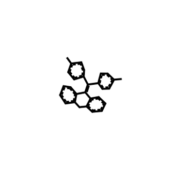 Cc1ccc(C(=C2c3ccccc3Cc3ccccc32)c2ccc(C)cc2)cc1